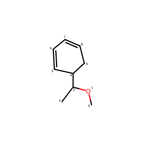 COC(C)C1C=CC=CC1